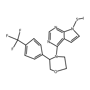 FC(F)(F)c1ccc(C2COCCN2c2ncnc3c2ccn3SI)cc1